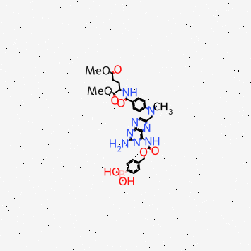 COC(=O)CCC(NC(=O)c1ccc(N(C)Cc2cnc3nc(N)nc(NC(=O)OCc4ccc(B(O)O)cc4)c3n2)cc1)C(=O)OC